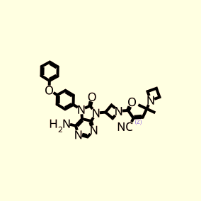 CC(C)(/C=C(/C#N)C(=O)N1CC(n2c(=O)n(-c3ccc(Oc4ccccc4)cc3)c3c(N)ncnc32)C1)N1CCC1